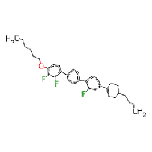 C=CCCC1CC=C(c2ccc(-c3ccc(-c4ccc(OCCCCCC)c(F)c4F)cc3)c(F)c2)CC1